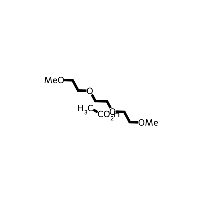 CC(=O)O.COCCOCCOCCOC